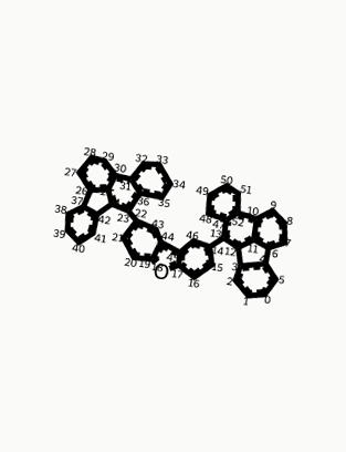 c1ccc2c(c1)-c1cccc3c1c-2c(-c1ccc2oc4ccc(-c5c6c7c(cccc7c7ccccc57)-c5ccccc5-6)cc4c2c1)c1ccccc13